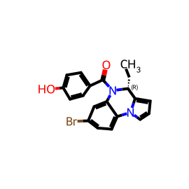 CC[C@@H]1c2cccn2-c2ccc(Br)cc2N1C(=O)c1ccc(O)cc1